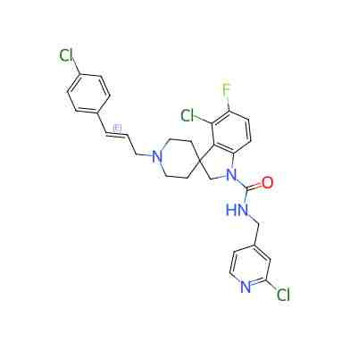 O=C(NCc1ccnc(Cl)c1)N1CC2(CCN(C/C=C/c3ccc(Cl)cc3)CC2)c2c1ccc(F)c2Cl